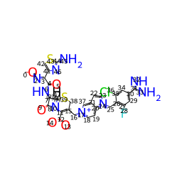 CON=C(C(=O)N[C@@H]1C(=O)N2C(C(=O)[O-])=C(C[n+]3ccc4c(ccn4Cc4c(F)cc(C(=N)N)cc4Cl)c3)CS[C@H]12)c1csc(N)n1